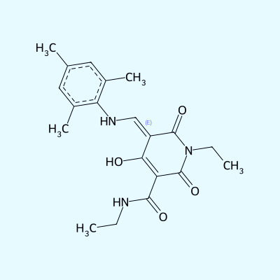 CCNC(=O)C1=C(O)/C(=C\Nc2c(C)cc(C)cc2C)C(=O)N(CC)C1=O